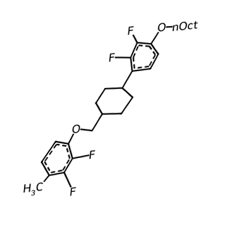 CCCCCCCCOc1ccc(C2CCC(COc3ccc(C)c(F)c3F)CC2)c(F)c1F